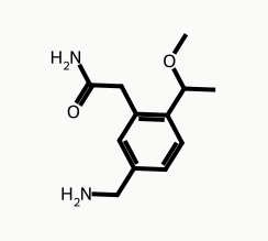 COC(C)c1ccc(CN)cc1CC(N)=O